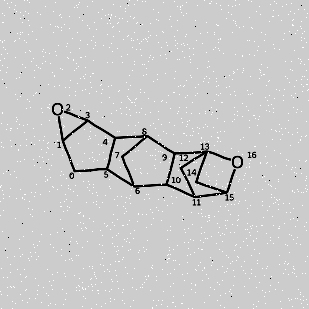 C1C2OC2C2C1C1CC2C2C1C1CC23CC1O3